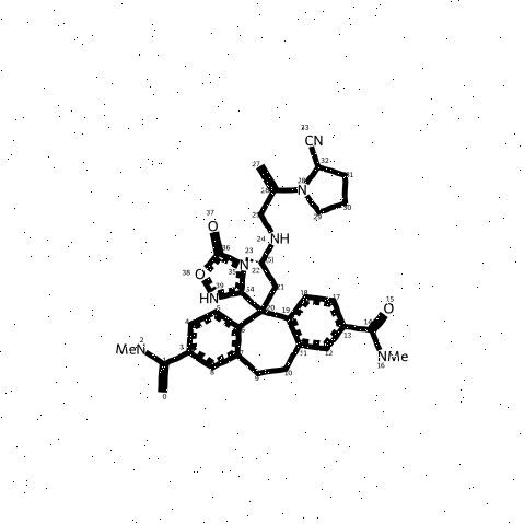 C=C(NC)c1ccc2c(c1)CCc1cc(C(=O)NC)ccc1C2(C[C@H](C)NCC(=C)N1CCCC1C#N)c1nc(=O)o[nH]1